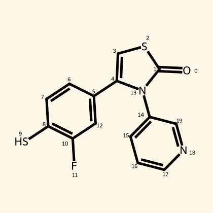 O=c1scc(-c2ccc(S)c(F)c2)n1-c1cccnc1